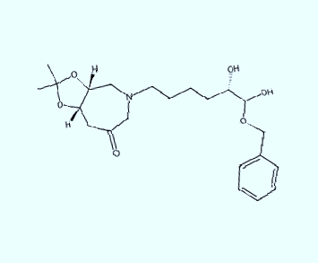 CC1(C)O[C@H]2CC(=O)CN(CCCC[C@H](O)C(O)OCc3ccccc3)C[C@H]2O1